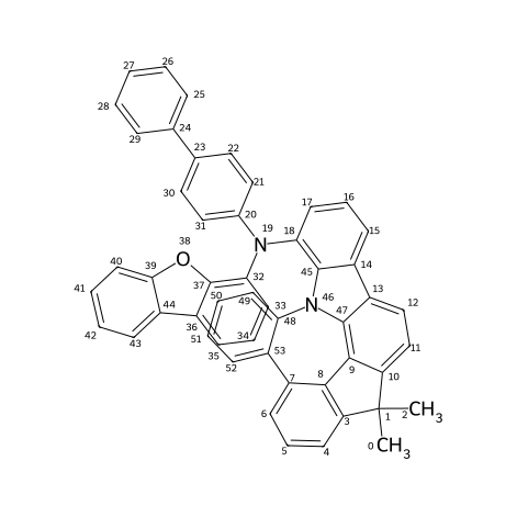 CC1(C)c2cccc3c2-c2c1ccc1c4cccc(N(c5ccc(-c6ccccc6)cc5)c5cccc6c5oc5ccccc56)c4n(c21)-c1ccccc1-3